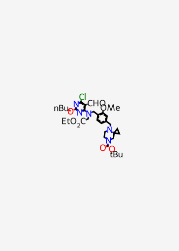 CCCCOc1nc(Cl)c(C=O)c(N(CC(=O)OCC)Cc2ccc(CN3CCN(C(=O)OC(C)(C)C)CC34CC4)cc2OC)n1